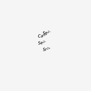 [Ca+2].[Se-2].[Se-2].[Sr+2]